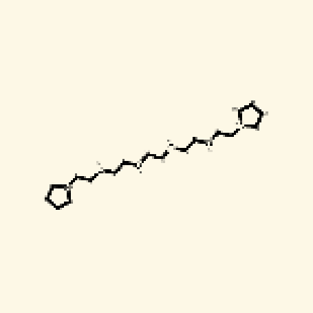 C1CCN(CCOCCOCCOCCOCCN2CCCC2)C1